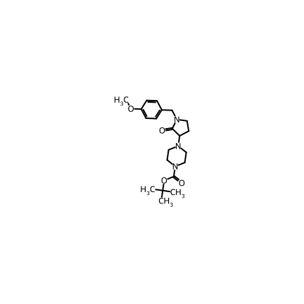 COc1ccc(CN2CCC(N3CCN(C(=O)OC(C)(C)C)CC3)C2=O)cc1